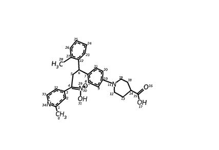 Cc1cc(C(CC(c2ccc(N3CCC(C(=O)O)CC3)cc2)c2ccccc2C)=[N+]([O-])O)ccn1